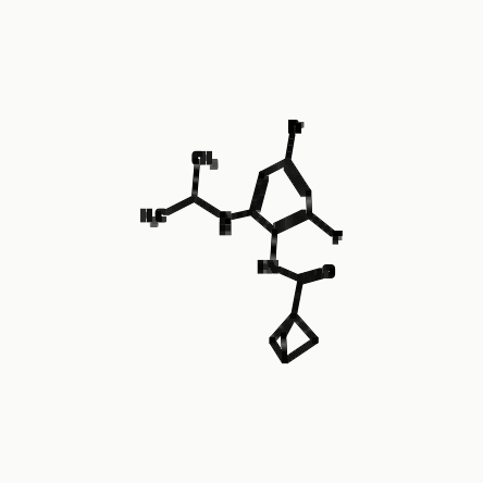 CC(C)Nc1cc(Br)cc(F)c1NC(=O)C12CC(C1)C2